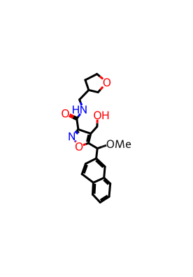 COC(c1ccc2ccccc2c1)c1onc(C(=O)NCC2CCOC2)c1CO